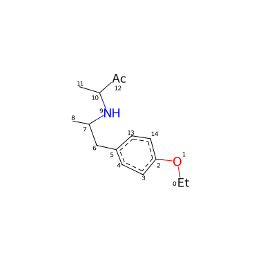 CCOc1ccc(CC(C)NC(C)C(C)=O)cc1